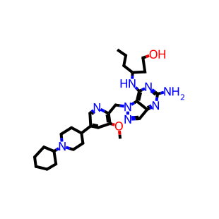 CCCC(CCO)Nc1nc(N)nc2cnn(Cc3ncc(C4CCN(C5CCCCC5)CC4)cc3OC)c12